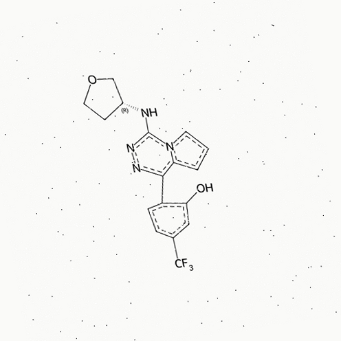 Oc1cc(C(F)(F)F)ccc1-c1nnc(N[C@@H]2CCOC2)n2cccc12